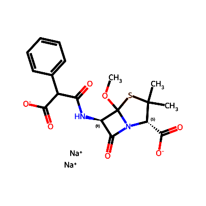 COC12SC(C)(C)[C@H](C(=O)[O-])N1C(=O)[C@H]2NC(=O)C(C(=O)[O-])c1ccccc1.[Na+].[Na+]